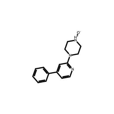 [O-][NH+]1CCN(c2cc(-c3ccccc3)ccn2)CC1